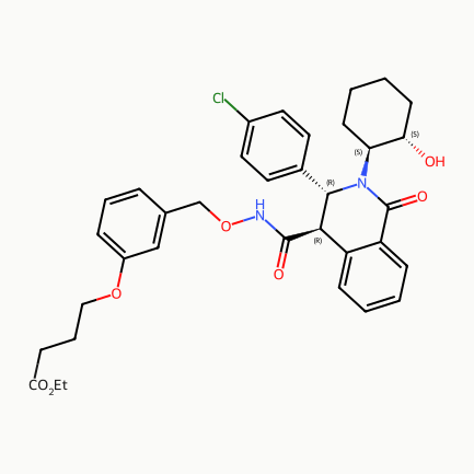 CCOC(=O)CCCOc1cccc(CONC(=O)[C@@H]2c3ccccc3C(=O)N([C@H]3CCCC[C@@H]3O)[C@H]2c2ccc(Cl)cc2)c1